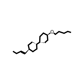 CC/C=C/[C@H]1CC[C@H]([C@H]2CC[C@H](OCCCCC)CC2)CC1